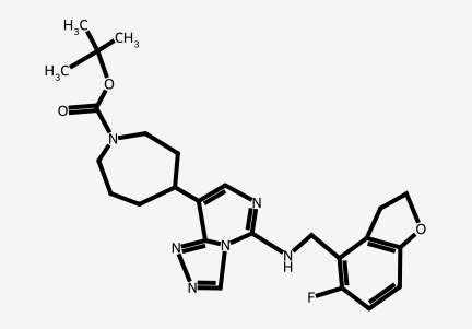 CC(C)(C)OC(=O)N1CCCC(c2cnc(NCc3c(F)ccc4c3CCO4)n3cnnc23)CC1